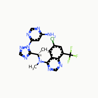 C[C@@H](c1ncnn1-c1cc(N)ncn1)N(C)c1ncnc2c(C(F)(F)F)cc(Cl)cc12